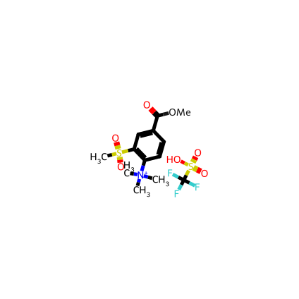 COC(=O)c1ccc([N+](C)(C)C)c(S(C)(=O)=O)c1.O=S(=O)(O)C(F)(F)F